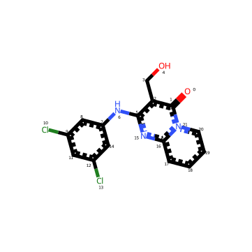 O=c1c(CO)c(Nc2cc(Cl)cc(Cl)c2)nc2ccccn12